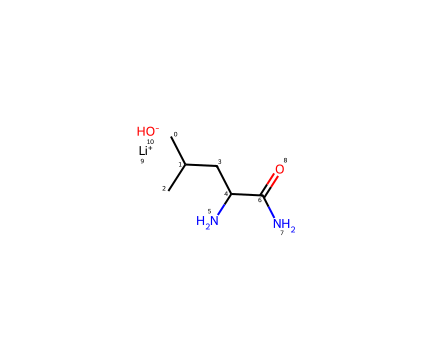 CC(C)CC(N)C(N)=O.[Li+].[OH-]